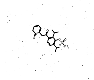 CC(C)c1ccc(C(=O)CC2=CC=CCC2=S)c(C(C)C)c1OS(N)(=O)=O